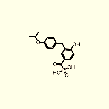 CC(C)Oc1ccc(Cc2cc(C(=O)P(=O)(O)O)ccc2O)cc1